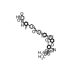 CCN(C)S(=O)(=O)Nc1ccc(F)c(Oc2ccc3ncn(-c4ccc(N5CCN(C(=O)CN6CCC(c7ccc(N[C@H]8CCC(=O)NC8=O)cc7F)CC6)CC5)nc4)c(=O)c3c2)c1C#N